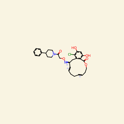 O=C1OCC/C=C/CC/C=C/C(=N/OCC(=O)N2CCC(c3ccccc3)CC2)Cc2c(Cl)c(O)cc(O)c21